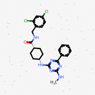 CNc1nc(N[C@H]2CC[C@@H](C(=O)NCc3ccc(Cl)cc3Cl)CC2)nc(-c2ccccc2)n1